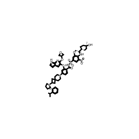 CC(C)c1ccccc1[C@@H]1CCCN1C1CC2(CCN(c3ccc(C(=O)NS(=O)(=O)c4cc5c(c([N+](=O)[O-])c4)N[C@@H]([C@H]4CC[C@](C)(O)CC4)CO5)c(Oc4cc5cc[nH]c5nc4OC4COC4)c3)CC2)C1